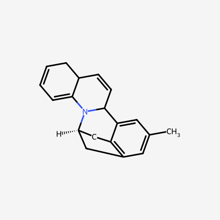 Cc1cc2c3c(c1)C1C=CC4CC=CC=C4N1[C@H](C2)C3